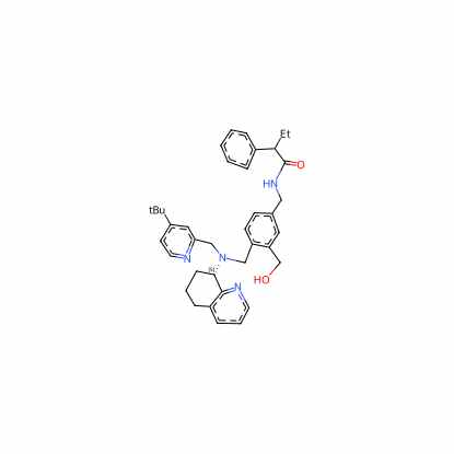 CCC(C(=O)NCc1ccc(CN(Cc2cc(C(C)(C)C)ccn2)[C@H]2CCCc3cccnc32)c(CO)c1)c1ccccc1